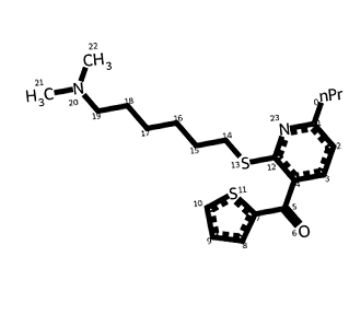 CCCc1ccc(C(=O)c2cccs2)c(SCCCCCCN(C)C)n1